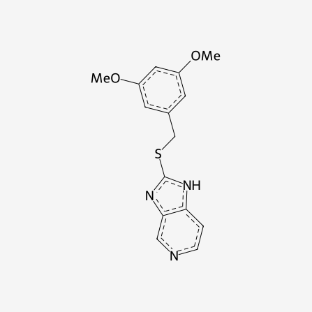 COc1cc(CSc2nc3cnccc3[nH]2)cc(OC)c1